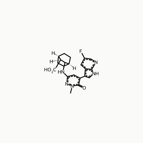 Cn1nc(NC2[C@H]3CC[C@H](CC3)[C@@H]2C(=O)O)cc(-c2c[nH]c3ncc(F)cc23)c1=O